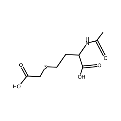 CC(=O)NC(CCSCC(=O)O)C(=O)O